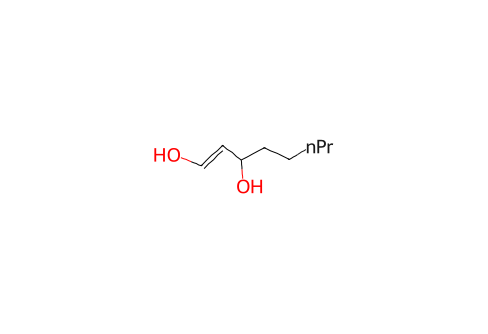 CCCCCC(O)C=CO